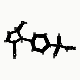 CC(=O)NS(=O)(=O)c1ccc(N2C(=O)C=CC2=O)cc1